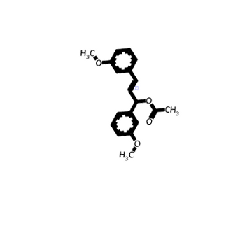 COc1cccc(/C=C/C(OC(C)=O)c2cccc(OC)c2)c1